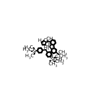 CC[Si](CC)(CC)c1ccc([C](c2ccc([Si](CC)(CC)CC)cc2)=[Hf]([C]2=CC=CC2)[CH]2c3ccc(C(C)(C)C)cc3-c3cccc(C(C)(C)C)c32)cc1